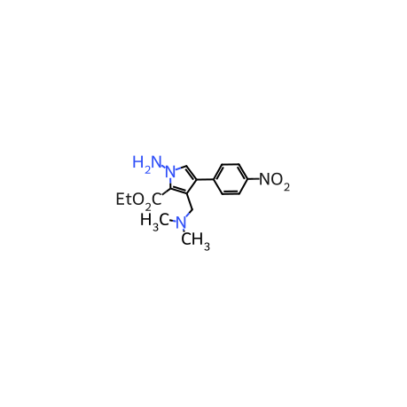 CCOC(=O)c1c(CN(C)C)c(-c2ccc([N+](=O)[O-])cc2)cn1N